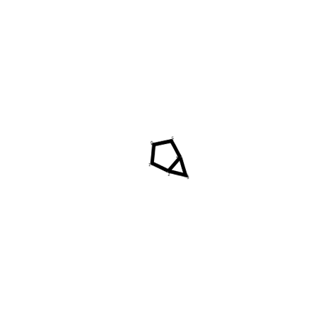 [CH]1CC2[CH]C2C1